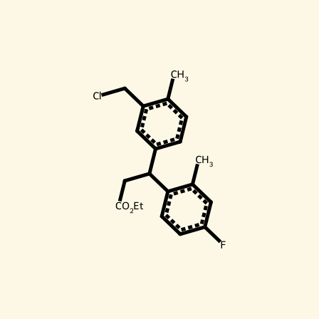 CCOC(=O)CC(c1ccc(C)c(CCl)c1)c1ccc(F)cc1C